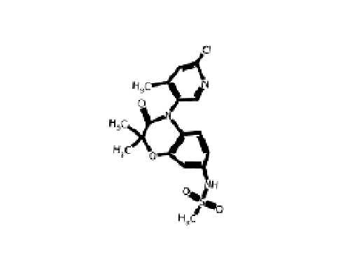 Cc1cc(Cl)ncc1N1C(=O)C(C)(C)Oc2cc(NS(C)(=O)=O)ccc21